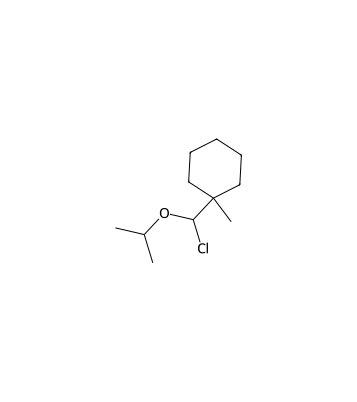 CC(C)OC(Cl)C1(C)CCCCC1